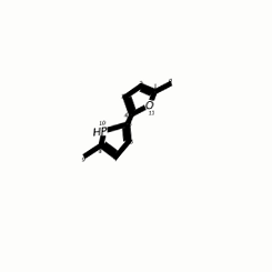 Cc1ccc(-c2ccc(C)[pH]2)o1